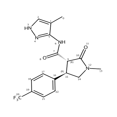 Cc1c[nH]nc1NC(=O)[C@@H]1C(=O)N(C)C[C@H]1c1ccc(C(F)(F)F)cc1